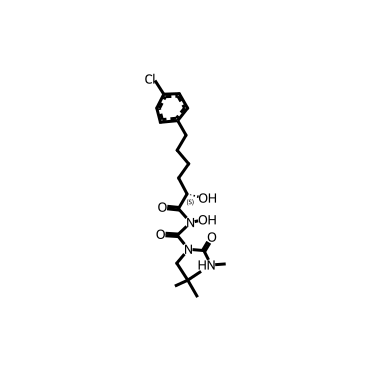 CNC(=O)N(CC(C)(C)C)C(=O)N(O)C(=O)[C@@H](O)CCCCc1ccc(Cl)cc1